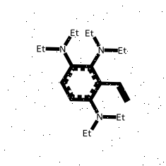 C=Cc1c(N(CC)CC)c[c]c(N(CC)CC)c1N(CC)CC